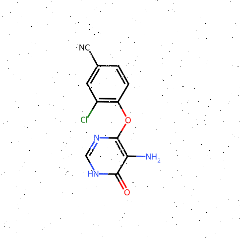 N#Cc1ccc(Oc2nc[nH]c(=O)c2N)c(Cl)c1